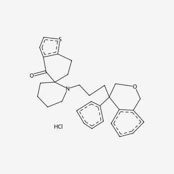 Cl.O=C1c2ccsc2CCC12CCCCN2CCCC1(c2ccccc2)COCc2ccccc21